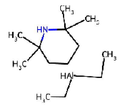 CC1(C)CCCC(C)(C)N1.C[CH2][AlH][CH2]C